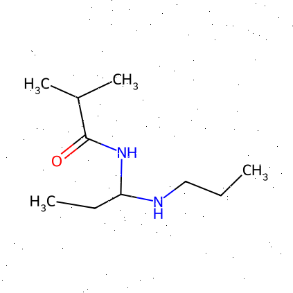 CCCNC(CC)NC(=O)C(C)C